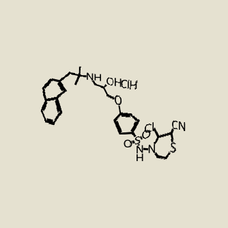 CC(C)(Cc1ccc2ccccc2c1)NC[C@@H](O)COc1ccc(S(=O)(=O)NN2CCSC(C#N)C2Cl)cc1.Cl